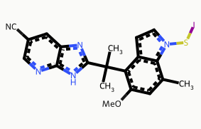 COc1cc(C)c2c(ccn2SI)c1C(C)(C)c1nc2cc(C#N)cnc2[nH]1